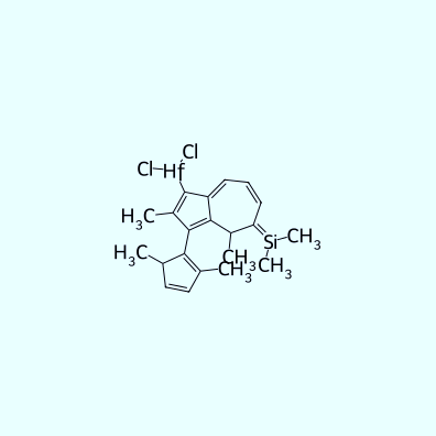 CC1=C(C2=C3C(=CC=CC(=[Si](C)C)C3C)[C]([Hf]([Cl])[Cl])=C2C)C(C)C=C1